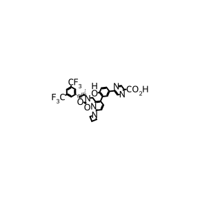 C[C@H]1[C@@H](c2cc(C(F)(F)F)cc(C(F)(F)F)c2)OC(=O)N1Cc1nc(N2CCC2)ccc1-c1cc(-c2cnc(C(=O)O)cn2)ccc1O